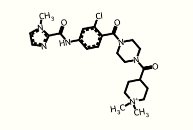 Cn1ccnc1C(=O)Nc1ccc(C(=O)N2CCN(C(=O)C3CC[N+](C)(C)CC3)CC2)c(Cl)c1